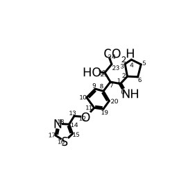 N=C(C1CCCC1)C(c1ccc(OCc2cscn2)cc1)C(O)CC(=O)O